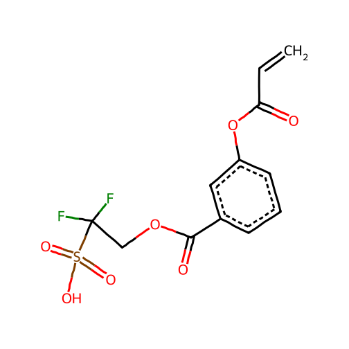 C=CC(=O)Oc1cccc(C(=O)OCC(F)(F)S(=O)(=O)O)c1